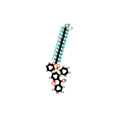 O=C(OS(c1ccccc1)(c1ccccc1)c1ccc2oc3ccccc3c(=O)c2c1)C(F)(F)C(F)(F)C(F)(F)C(F)(F)C(F)(F)C(F)(F)C(F)(F)C(F)(F)C(F)(F)C(F)(F)C(F)(F)F